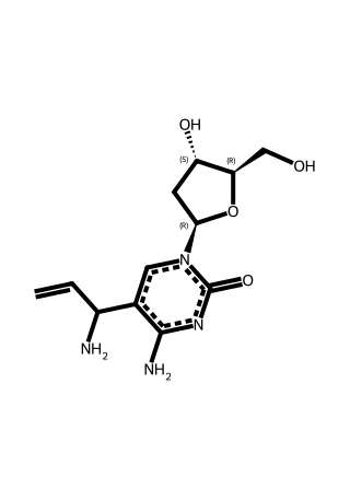 C=CC(N)c1cn([C@H]2C[C@H](O)[C@@H](CO)O2)c(=O)nc1N